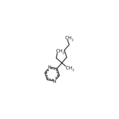 CCCCC(C)(CC)c1cnccn1